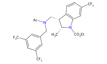 CCOC(=O)N1c2cc(C(F)(F)F)ccc2[C@@H](CN(Cc2cc(C(F)(F)F)cc(C(F)(F)F)c2)C(C)=O)[C@H]1C